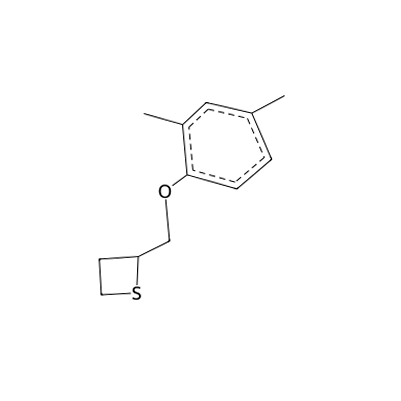 Cc1ccc(OCC2CCS2)c(C)c1